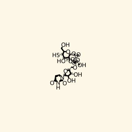 O=c1ccn([C@@H]2O[C@H](COP(=O)(O)OP(=O)(O)O[C@H]3OC(CO)[C@@H](S)[C@H](O)C3O)[C@H](O)C2O)c(=O)[nH]1